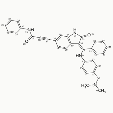 CN(C)Cc1ccc(NC(=C2C(=O)Nc3cc(C#CC(=O)Nc4ccccc4)ccc32)c2ccccc2)cc1